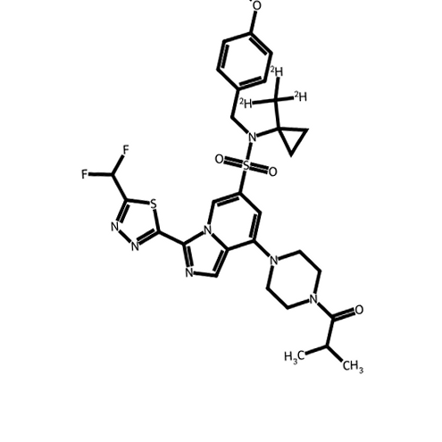 [2H]C([2H])([2H])C1(N(Cc2ccc(OC)cc2)S(=O)(=O)c2cc(N3CCN(C(=O)C(C)C)CC3)c3cnc(-c4nnc(C(F)F)s4)n3c2)CC1